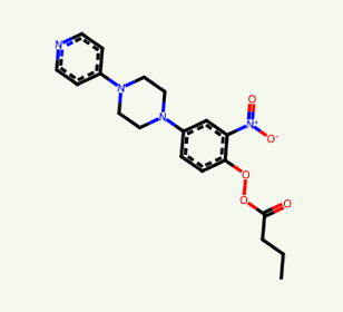 CCCC(=O)OOc1ccc(N2CCN(c3ccncc3)CC2)cc1[N+](=O)[O-]